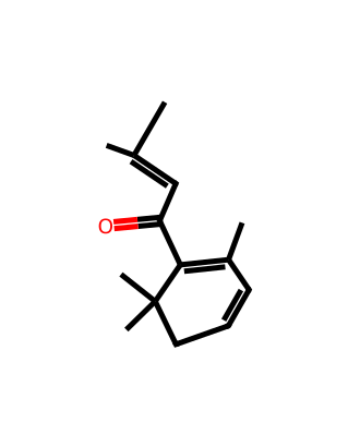 CC(C)=CC(=O)C1=C(C)C=CCC1(C)C